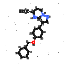 O=C(O)c1ccn2ncc(-c3ccc(OCc4ccccc4)cc3)c2n1